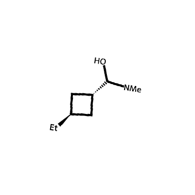 CC[C@H]1C[C@H](C(O)NC)C1